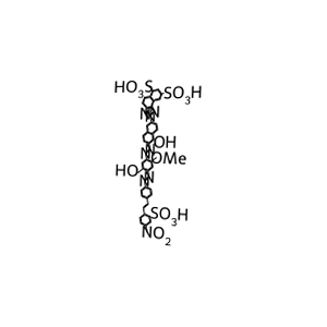 COc1cc(N=Nc2ccc(C=Cc3ccc([N+](=O)[O-])cc3S(=O)(=O)O)cc2)c(CO)cc1N=Nc1ccc2cc(-n3nc4ccc5c(S(=O)(=O)O)cc(S(=O)(=O)O)cc5c4n3)ccc2c1O